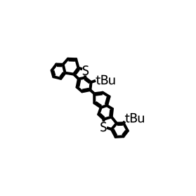 CC(C)(C)c1c(-c2ccc3cc4c(cc3c2)sc2cccc(C(C)(C)C)c24)ccc2c1sc1ccc3ccccc3c12